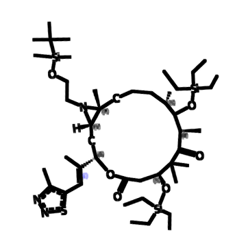 CC[Si](CC)(CC)OC1[C@@H](C)CCC[C@]2(C)[C@H](C[C@@H](/C(C)=C/c3snnc3C)OC(=O)C[C@H](O[Si](CC)(CC)CC)C(C)(C)C(=O)[C@@H]1C)N2CCO[Si](C)(C)C(C)(C)C